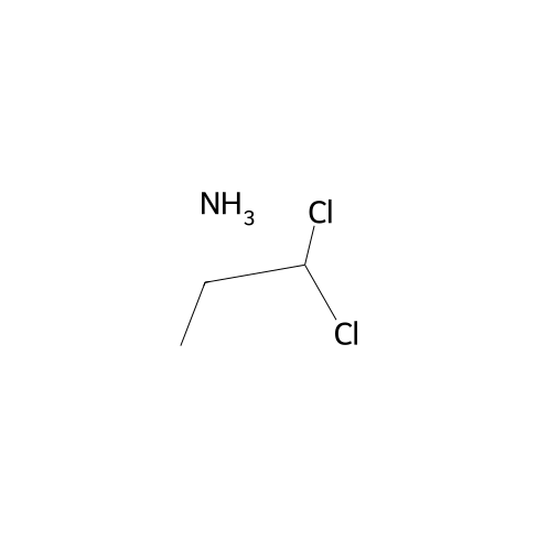 CCC(Cl)Cl.N